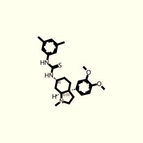 COc1ccc([C@@]23CC[C@@H](NC(=S)Nc4cc(C)cc(C)c4)C[C@@H]2N(C)CC3)cc1OC